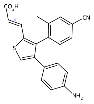 Cc1cc(C#N)ccc1-c1c(-c2ccc(N)cc2)csc1/C=C/C(=O)O